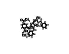 CCNc1ccc(C(C)=O)cc1N=C1SC(=CN(C)CCc2ccccc2)C(=O)N1Cc1ccccc1